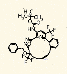 CC(C)(C)OC(=O)Nc1cc(C(F)(F)F)c2nc1-c1nnc(o1)C(OCc1ccccc1)(C(F)(F)F)CC/C=C\Cc1ccccc1-2